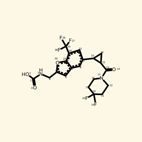 O=C(O)NCc1cc2cc(C3CC3C(=O)N3CCC(F)(F)CC3)cc(C(F)(F)F)c2o1